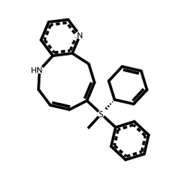 CS(C1=C/Cc2ncccc2NC/C=C\1)(c1ccccc1)[C@H]1C=CC=CC1